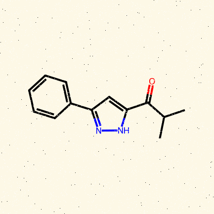 CC(C)C(=O)c1cc(-c2ccccc2)n[nH]1